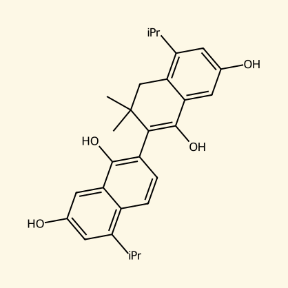 CC(C)c1cc(O)cc2c1CC(C)(C)C(c1ccc3c(C(C)C)cc(O)cc3c1O)=C2O